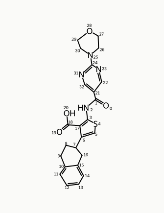 O=C(Nc1scc(C2CCc3ccccc3C2)c1C(=O)O)c1cnc(N2CCOCC2)nc1